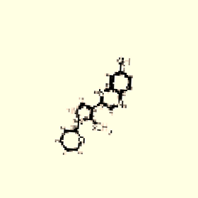 Cc1c(-c2cnc3ccc(O)cc3n2)cnn1C1CCCCO1